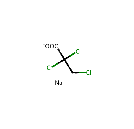 O=C([O-])C(Cl)(Cl)CCl.[Na+]